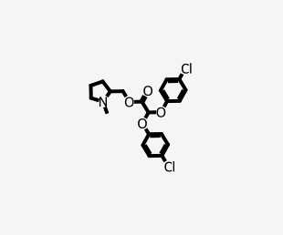 CN1CCCC1COC(=O)C(Oc1ccc(Cl)cc1)Oc1ccc(Cl)cc1